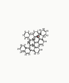 c1ccc(-c2ccccc2-c2nc(-c3c(-c4ccccc4)ccc4ccccc34)nc(-c3cccc4c3oc3ccccc34)n2)cc1